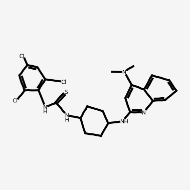 CN(C)c1cc(NC2CCC(NC(=S)Nc3c(Cl)cc(Cl)cc3Cl)CC2)nc2ccccc12